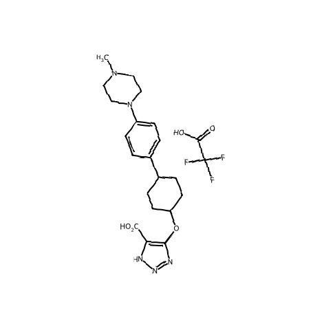 CN1CCN(c2ccc(C3CCC(Oc4nn[nH]c4C(=O)O)CC3)cc2)CC1.O=C(O)C(F)(F)F